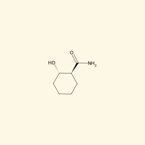 NC(=O)[C@H]1CCCC[C@@H]1O